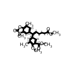 COC(=O)CCC/C=C(\c1cc(C)c(OC)c(C(=O)OC)c1)c1cc(C)c2oc(=O)n(C)c2c1